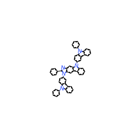 c1ccc(-c2nc3cc4c(cc3n2-c2ccc3c(c2)c2ccccc2n3-c2ccccc2)c2ccccc2n4-c2ccc3c(c2)c2ccccc2n3-c2ccccc2)cc1